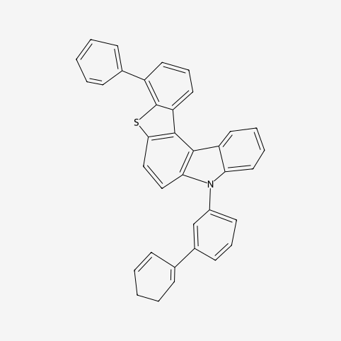 C1=CC(c2cccc(-n3c4ccccc4c4c5c(ccc43)sc3c(-c4ccccc4)cccc35)c2)=CCC1